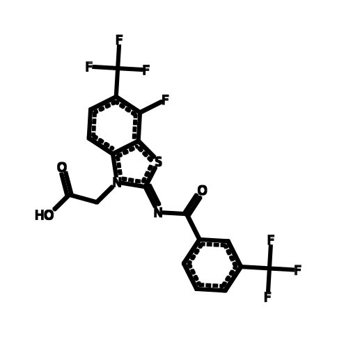 O=C(O)Cn1/c(=N/C(=O)c2cccc(C(F)(F)F)c2)sc2c(F)c(C(F)(F)F)ccc21